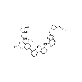 Cc1cc(-c2cccc(-c3cccc(Nc4nccc5sc(CN6CC[C@@H](CC(=O)O)C6)nc45)c3Cl)c2Cl)nc(OC(F)F)c1CNC[C@@H]1CCC(=O)N1